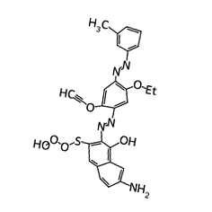 C#COc1cc(N=Nc2cccc(C)c2)c(OCC)cc1N=Nc1c(SOOO)cc2ccc(N)cc2c1O